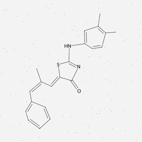 CC(=Cc1ccccc1)C=C1SC(Nc2ccc(C)c(C)c2)=NC1=O